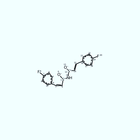 [O-][S+](/C=C\c1ccc(F)cc1)N[S+]([O-])/C=C/c1ccc(F)cc1